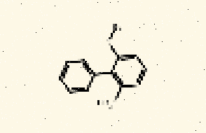 CCOc1cccc(C(=O)O)c1-c1ccccc1